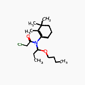 CCCCOC(CC)N(C(=O)CCl)C1=C(C)C(C)(C)CCC1